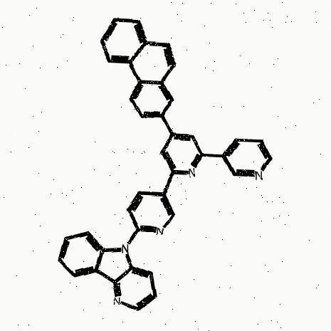 c1cncc(-c2cc(-c3ccc4c(ccc5ccccc54)c3)cc(-c3ccc(-n4c5ccccc5c5ncccc54)nc3)n2)c1